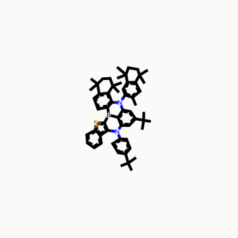 Cc1cc2c(cc1N1c3cc(C(C)(C)C)cc4c3B(c3ccc5c(c31)C(C)(C)CCC5(C)C)c1sc3ccccc3c1N4c1ccc(C(C)(C)C)cc1)C(C)(C)CCC2(C)C